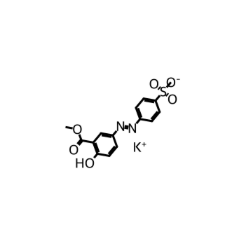 COC(=O)c1cc(N=Nc2ccc(S(=O)(=O)[O-])cc2)ccc1O.[K+]